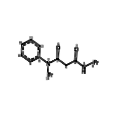 CC(C)NC(=O)CC(=O)N(c1ccccc1)C(C)C